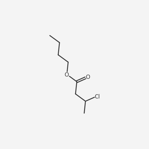 CCCCOC(=O)CC(C)Cl